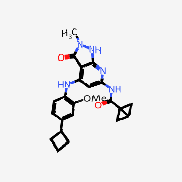 COc1cc(C2CCC2)ccc1Nc1cc(NC(=O)C23CC2C3)nc2[nH]n(C)c(=O)c12